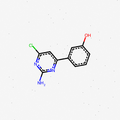 Nc1nc(Cl)cc(-c2cccc(O)c2)n1